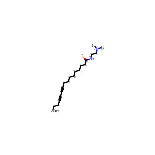 CCCCCCCCCCCCC#CC#CCCCCCCCCC(=O)NCCN(CC)CC